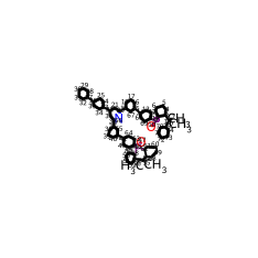 CC1(C)c2ccccc2P(=O)(c2ccc(-c3cccc(-c4cc(-c5ccc(-c6ccccc6)cc5)cc(-c5cccc(-c6ccc(P7(=O)c8ccccc8C(C)(C)C8C=CC=CC87)cc6)c5)n4)c3)cc2)c2ccccc21